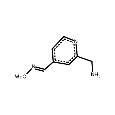 CON=Cc1ccnc(CN)c1